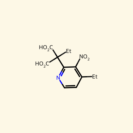 CCc1ccnc(C(CC)(C(=O)O)C(=O)O)c1[N+](=O)[O-]